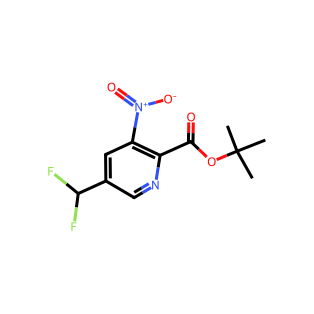 CC(C)(C)OC(=O)c1ncc(C(F)F)cc1[N+](=O)[O-]